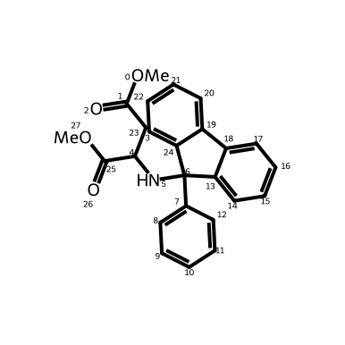 COC(=O)CC(NC1(c2ccccc2)c2ccccc2-c2ccccc21)C(=O)OC